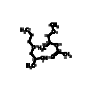 CCCOCC(C)O.COCC(C)OC(C)=O